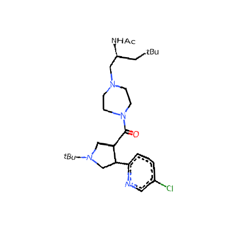 CC(=O)N[C@H](CN1CCN(C(=O)C2CN(C(C)(C)C)CC2c2ccc(Cl)cn2)CC1)CC(C)(C)C